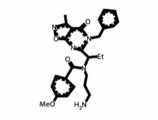 CCC(c1nc2onc(C)c2c(=O)n1Cc1ccccc1)N(CCCN)C(=O)c1ccc(OC)cc1